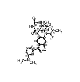 C[C@@H]1O[C@H](C)C(F)N2c3cc4onc(-c5cncc(N(C)C)n5)c4cc3CC3(C(=O)NC(=O)NC3=O)[C@@H]12